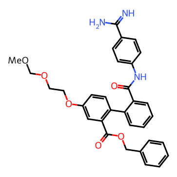 COCOCCOc1ccc(-c2ccccc2C(=O)Nc2ccc(C(=N)N)cc2)c(C(=O)OCc2ccccc2)c1